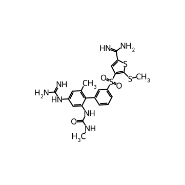 CNC(=O)Nc1cc(NC(=N)N)cc(C)c1-c1cccc(S(=O)(=O)c2cc(C(=N)N)sc2SC)c1